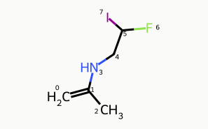 C=C(C)NCC(F)I